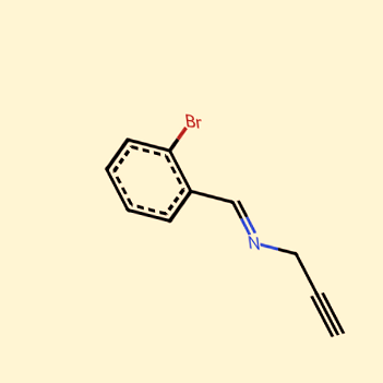 C#CCN=Cc1ccccc1Br